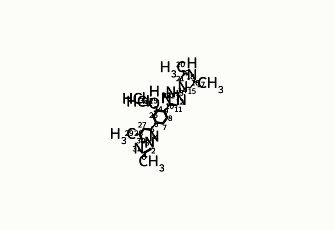 Cc1cn2nc(-c3ccc(-c4cnc(N5C[C@@H](C)N[C@@H](C)C5)nn4)c(O)c3)cc(C)c2n1.Cl.Cl